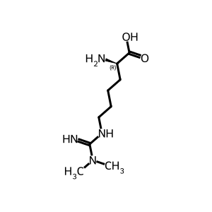 CN(C)C(=N)NCCCC[C@@H](N)C(=O)O